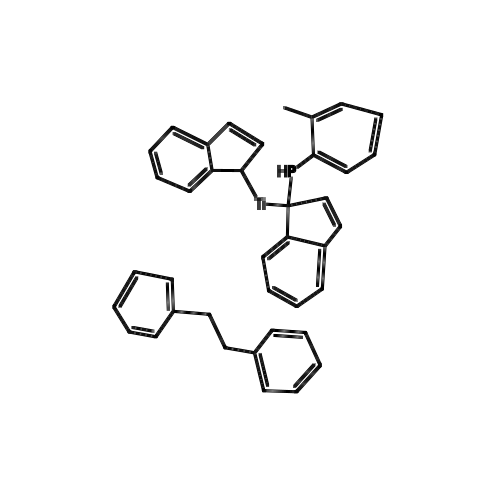 Cc1ccccc1P[C]1([Ti][CH]2C=Cc3ccccc32)C=Cc2ccccc21.c1ccc(CCc2ccccc2)cc1